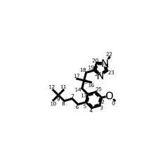 COc1ccc(CCCC(C)(C)C)c(CC(C)(C)Cc2cn(C)cn2)c1